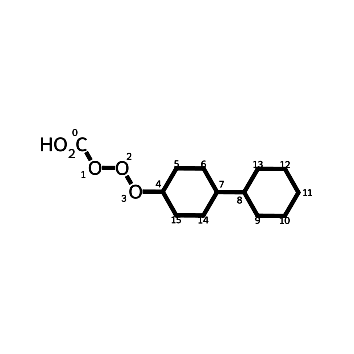 O=C(O)OOOC1CCC(C2CCCCC2)CC1